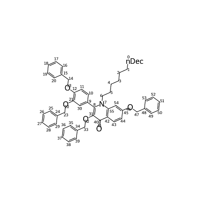 CCCCCCCCCCCCCCCCn1c(-c2ccc(OCc3ccccc3)c(OCc3ccccc3)c2)c(OCc2ccccc2)c(=O)c2ccc(OCc3ccccc3)cc21